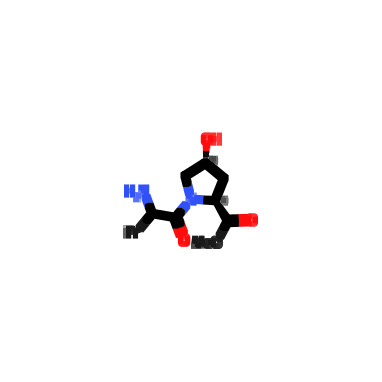 COC(=O)[C@@H]1C[C@@H](O)CN1C(=O)C(N)C(C)C